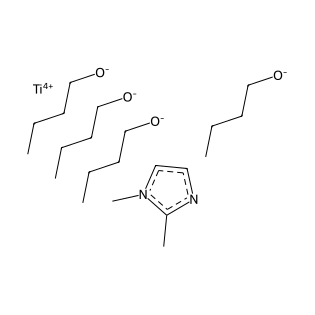 CCCC[O-].CCCC[O-].CCCC[O-].CCCC[O-].Cc1nccn1C.[Ti+4]